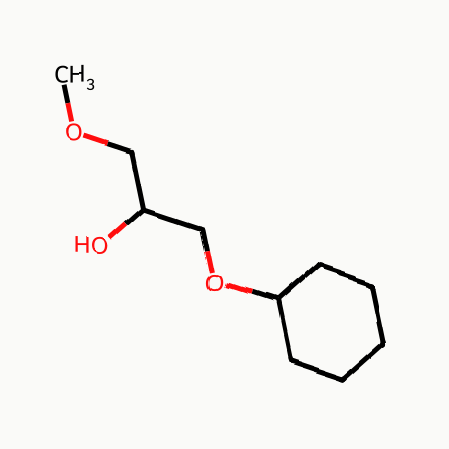 COCC(O)COC1CCCCC1